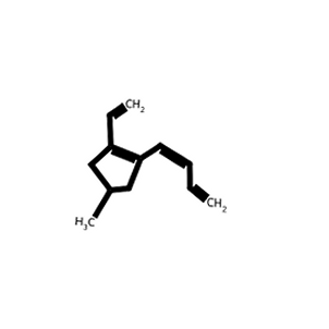 C=C/C=C\C1=C(C=C)CC(C)C1